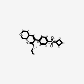 CCOC(=O)C(=CC1CCOCC1)c1ccc(S(=O)(=O)C2CCC2)cc1